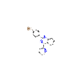 Brc1ccc(-c2nc(-c3ccccn3)c3ccccc3n2)cc1